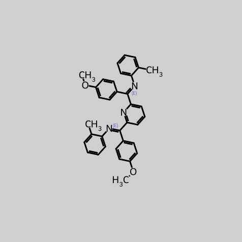 COc1ccc(/C(=N\c2ccccc2C)c2cccc(/C(=N/c3ccccc3C)c3ccc(OC)cc3)n2)cc1